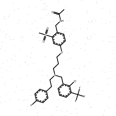 CC(=O)NCc1ccc(OCCCN(CCc2ccc(F)cc2)Cc2cccc(C(F)(F)F)c2Cl)cc1S(C)(=O)=O